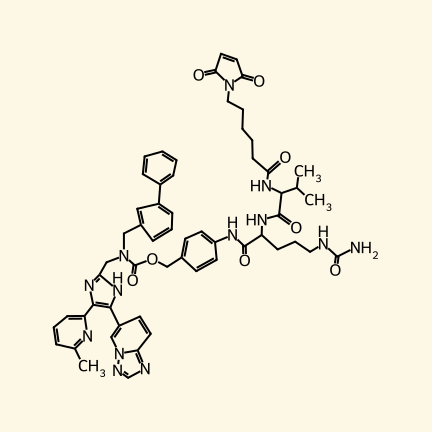 Cc1cccc(-c2nc(CN(Cc3cccc(-c4ccccc4)c3)C(=O)OCc3ccc(NC(=O)C(CCCNC(N)=O)NC(=O)C(NC(=O)CCCCCN4C(=O)C=CC4=O)C(C)C)cc3)[nH]c2-c2ccc3ncnn3c2)n1